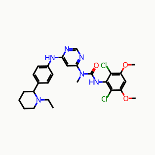 CCN1CCCCC1c1ccc(Nc2cc(N(C)C(=O)Nc3c(Cl)c(OC)cc(OC)c3Cl)ncn2)cc1